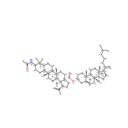 C=C(C)[C@@H]1CC[C@]2(C(=O)O[C@@H]3CC[C@@]4(C)C(=CC[C@H]5[C@@H]6CC[C@H]([C@H](C)CCCC(C)C)[C@@]6(C)CC[C@@H]54)C3)CC[C@]3(C)[C@H](CC[C@@H]4[C@@]5(C)CCC(NC(C)=O)C(C)(C)C5CC[C@]43C)C12